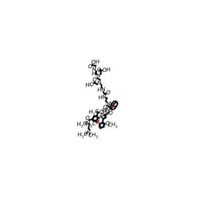 COc1cccc(OC)c1-c1cc(C(=O)NC2(C(=O)NCCNC(=O)CNCCN(CCN(CCNCC(=O)O)CC(=O)O)CC(=O)O)C3CC4CC(C3)CC2C4)nn1-c1ccc(C(=O)N(C)CCCN(C)C)cc1C(C)C